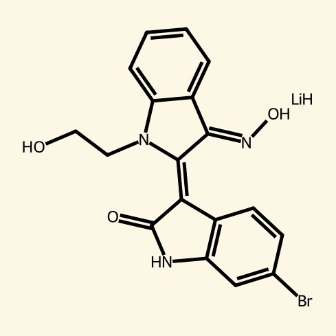 O=C1Nc2cc(Br)ccc2/C1=C1\C(=N\O)c2ccccc2N1CCO.[LiH]